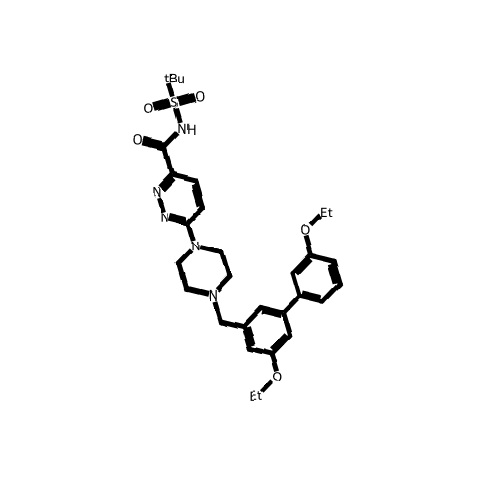 CCOc1cccc(-c2cc(CN3CCN(c4ccc(C(=O)NS(=O)(=O)C(C)(C)C)nn4)CC3)cc(OCC)c2)c1